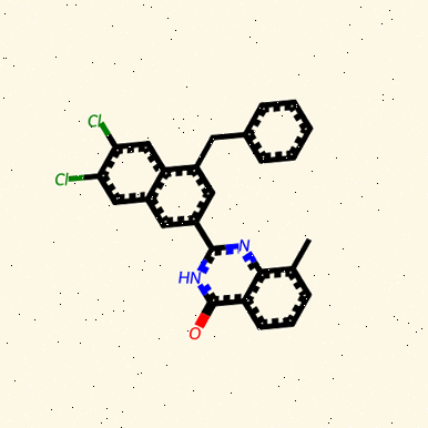 Cc1cccc2c(=O)[nH]c(-c3cc(Cc4ccccc4)c4cc(Cl)c(Cl)cc4c3)nc12